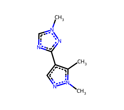 Cc1c(-c2ncn(C)n2)cnn1C